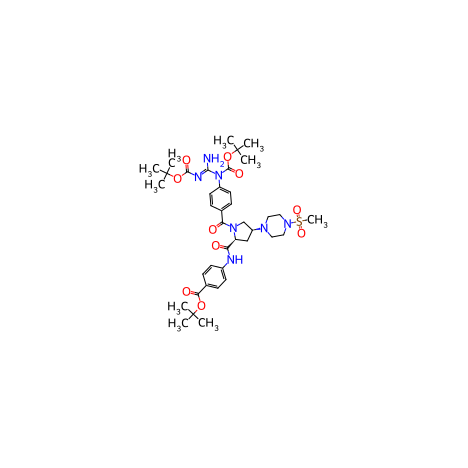 CC(C)(C)OC(=O)N=C(N)N(C(=O)OC(C)(C)C)c1ccc(C(=O)N2C[C@@H](N3CCN(S(C)(=O)=O)CC3)C[C@H]2C(=O)Nc2ccc(C(=O)OC(C)(C)C)cc2)cc1